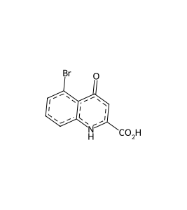 O=C(O)c1cc(=O)c2c(Br)cccc2[nH]1